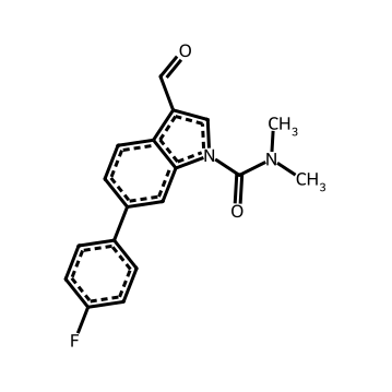 CN(C)C(=O)n1cc(C=O)c2ccc(-c3ccc(F)cc3)cc21